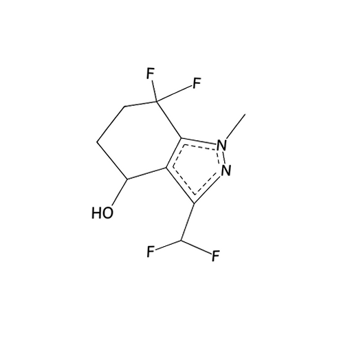 Cn1nc(C(F)F)c2c1C(F)(F)CCC2O